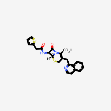 O=C(Cc1cccs1)NC1C(=O)N2C(C(=O)O)=C(Cc3nccc4ccccc34)CS[C@H]12